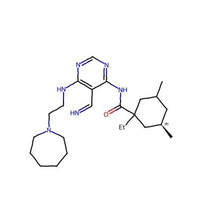 CCC1(C(=O)Nc2ncnc(NCCN3CCCCCC3)c2C=N)CC(C)C[C@@H](C)C1